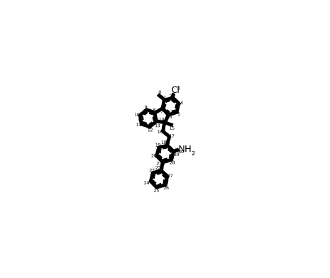 Cc1c(Cl)ccc2c1-c1ccccc1C2(C)CCc1ccc(-c2ccccc2)cc1N